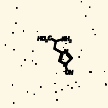 NC(Cc1cn(O)cn1)C(=O)O